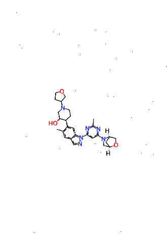 Cc1nc(N2C[C@H]3C[C@@H]2CO3)cc(-n2ncc3cc(C)c([C@@H]4CCN([C@H]5CCOC5)C[C@@H]4O)cc32)n1